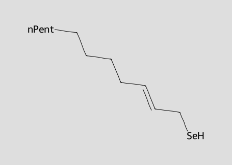 CCCCCCCCCC=CC[SeH]